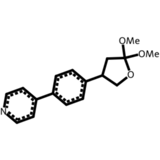 COC1(OC)CC(c2ccc(-c3ccncc3)cc2)CO1